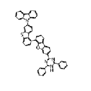 c1ccc(C2=NC(c3ccc4c(c3)oc3c(-c5cccc6sc7cc(-n8c9ccccc9c9ccccc98)ccc7c56)cccc34)=NC(c3ccccc3)N2)cc1